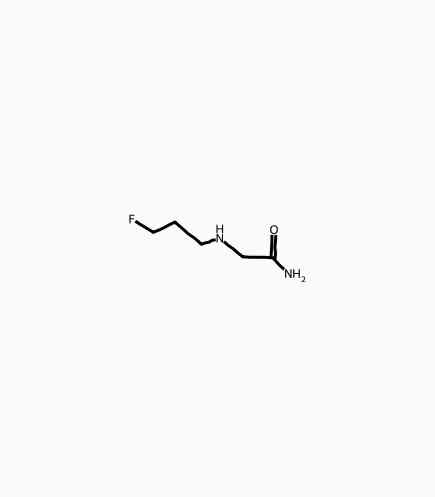 NC(=O)CNCCCF